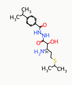 CC(C)SCC[C@@H](N)C(O)C(=O)NNC(=O)c1ccc(C(C)C)cc1